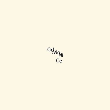 [Ce].[Gd].[Mo].[Ni]